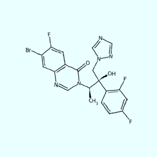 C[C@@H](n1cnc2cc(Br)c(F)cc2c1=O)[C@](O)(Cn1cncn1)c1ccc(F)cc1F